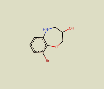 OC1CNc2cccc(Br)c2OC1